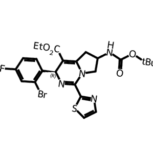 CCOC(=O)C1=C2CC(NC(=O)OC(C)(C)C)CN2C(c2nccs2)=N[C@H]1c1ccc(F)cc1Br